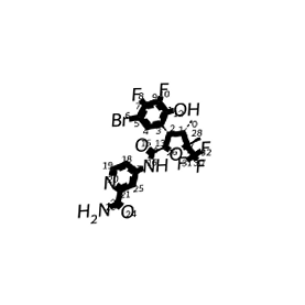 C[C@H]1[C@@H](c2cc(Br)c(F)c(F)c2O)[C@H](C(=O)Nc2ccnc(C(N)=O)c2)O[C@@]1(C)C(F)(F)F